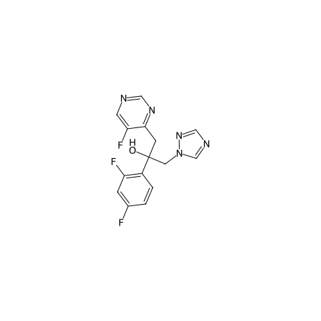 OC(Cc1ncncc1F)(Cn1cncn1)c1ccc(F)cc1F